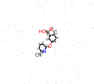 N#Cc1cccc(Oc2ccc3c(c2)B(O)OC3)n1